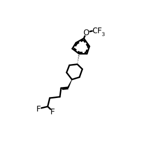 FC(F)CC/C=C/[C@H]1CC[C@H](c2ccc(OC(F)(F)F)cc2)CC1